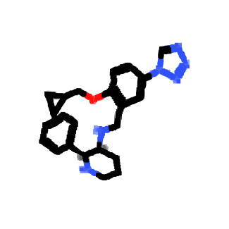 c1ccc([C@@H]2NCCC[C@@H]2NCc2cc(-n3cnnn3)ccc2OCC2CC2)cc1